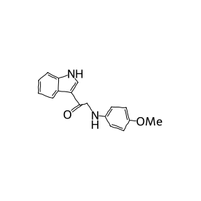 COc1ccc(NCC(=O)c2c[nH]c3ccccc23)cc1